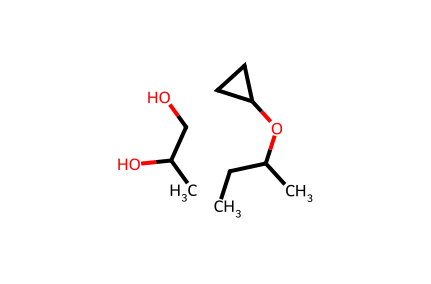 CC(O)CO.CCC(C)OC1CC1